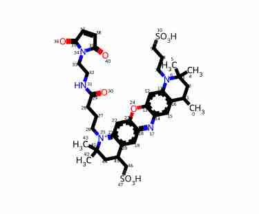 CC1CC(C)(C)N(CCCS(=O)(=O)O)c2cc3c(cc21)N=c1cc2c(cc1O3)=[N+](CCCC(=O)NCCN1C(=O)C=CC1=O)C(C)(C)CC2CS(=O)(=O)O